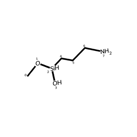 CO[SiH](O)CCCN